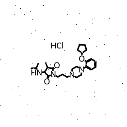 CC(C)NC1C(=O)N(CCCN2CCN(c3ccccc3OC3CCCC3)CC2)C(=O)C1C.Cl